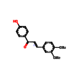 COc1cc(/C=C/C(=O)c2ccc(O)cc2)ccc1OCC(C)C